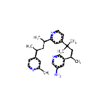 Cc1cc(C(C)CC(C)c2cc(C(C)(C)CC(C)c3cncc(N)c3)ccn2)ccn1